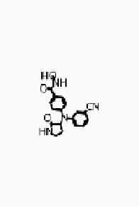 N#Cc1cccc(N(c2ccc(C(=O)NO)cc2)C2CCNC2=O)c1